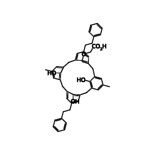 Cc1cc2c(O)c(c1)Cc1cc(CCc3ccccc3)cc(c1OCC(=O)O)Cc1cc(C)cc(c1O)Cc1cc(CCc3ccccc3)cc(c1O)C2